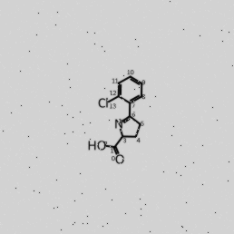 O=C(O)C1CCC(c2ccccc2Cl)=N1